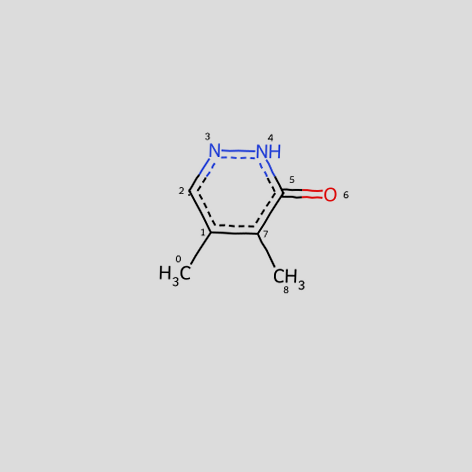 Cc1[c]n[nH]c(=O)c1C